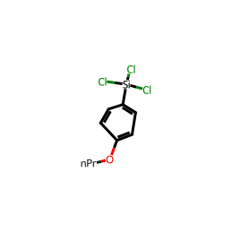 CCCOc1ccc([Si](Cl)(Cl)Cl)cc1